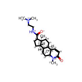 CN(C)CCNC(=O)C1CC[C@H]2[C@@H]3CCC4N(C)C(=O)C=C[C@]4(C)[C@@H]3CC[C@]12C